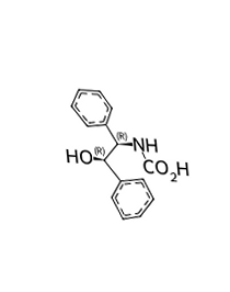 O=C(O)N[C@H](c1ccccc1)[C@H](O)c1ccccc1